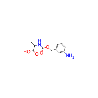 CC(NC(=O)OCc1cccc(N)c1)C(=O)O